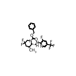 C[C@@H]1CC(F)(F)CN(C(=O)OCc2ccccc2)[C@@H]1CNc1ncc(C(F)(F)F)cc1F